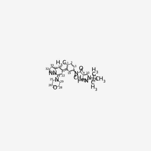 Cc1ccc(N(C)C(=O)c2cn(C(C)(C)C)nc2F)cc1-c1cc(N2CCOCC2)n2nccc2c1